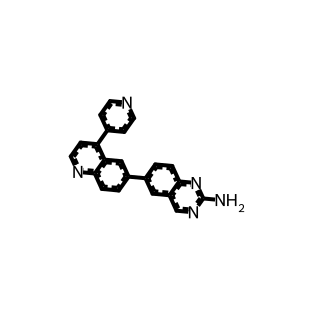 Nc1ncc2cc(-c3ccc4nccc(-c5ccncc5)c4c3)ccc2n1